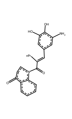 CCC/C(=C\c1cc(N)c(O)c(O)c1)C(=O)n1ccc(=O)c2ccccc21